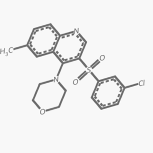 Cc1ccc2ncc(S(=O)(=O)c3cccc(Cl)c3)c(N3CCOCC3)c2c1